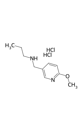 CCCNCc1ccc(OC)nc1.Cl.Cl